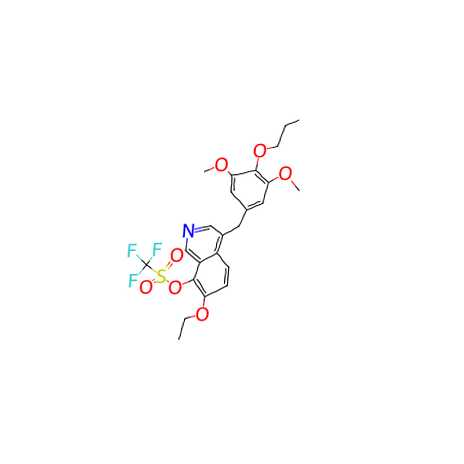 CCCOc1c(OC)cc(Cc2cncc3c(OS(=O)(=O)C(F)(F)F)c(OCC)ccc23)cc1OC